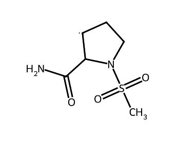 CS(=O)(=O)N1CC[CH]C1C(N)=O